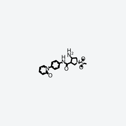 CS(=O)(=O)N1CC(N)C(C(=O)Nc2ccc(-n3ccccc3=O)cc2)C1